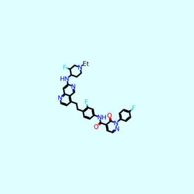 CCN1CCC(Nc2cc3nccc(CCc4ccc(NC(=O)c5ccnn(-c6ccc(F)cc6)c5=O)cc4F)c3cn2)C(F)C1